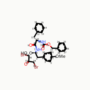 COc1ccc(C[C@H](NC(=O)[C@H](Cc2ccccc2)NC(=O)OCc2ccccc2)C(=O)O)cc1.O=C(CBr)CBr